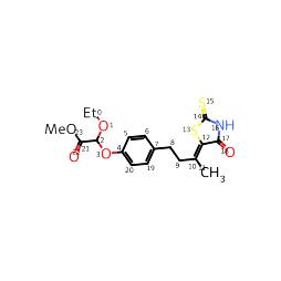 CCOC(Oc1ccc(CCC(C)=C2SC(=S)NC2=O)cc1)C(=O)OC